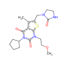 COCCn1c(=O)n(C2CCCC2)c(=O)c2c(C)c(CN3CCNC3=O)sc21